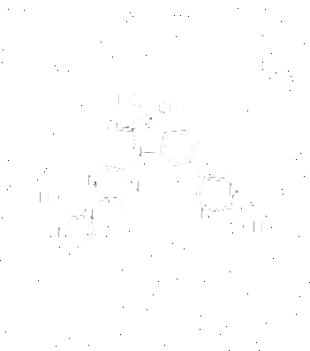 Cc1ncc(-c2ccc3c(c2)N(c2cnc(-n4ccnc4C)cn2)C(=O)C3(C)C)cn1